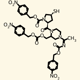 CC(=NC(=O)OCc1ccc([N+](=O)[O-])cc1)N1CCN(C(=O)[C@@H]2C[C@H](S)CN2C(=O)OCc2ccc([N+](=O)[O-])cc2)C(COC(=O)OCc2ccc([N+](=O)[O-])cc2)C1